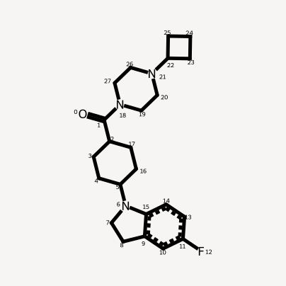 O=C(C1CCC(N2CCc3cc(F)ccc32)CC1)N1CCN(C2CCC2)CC1